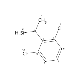 CC([SiH3])c1c(Cl)cccc1Cl